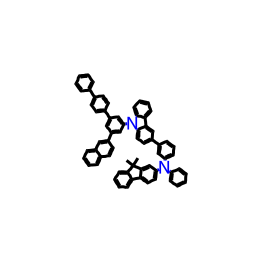 CC1(C)c2ccccc2-c2ccc(N(c3ccccc3)c3cccc(-c4ccc5c(c4)c4ccccc4n5-c4cc(-c5ccc(-c6ccccc6)cc5)cc(-c5ccc6ccccc6c5)c4)c3)cc21